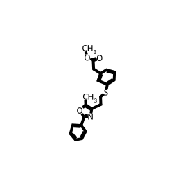 COC(=O)Cc1cccc(SCCc2nc(-c3ccccc3)oc2C)c1